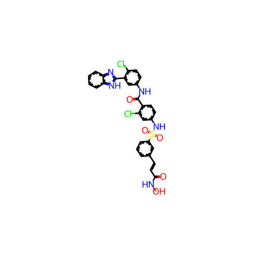 O=C(/C=C/c1cccc(S(=O)(=O)Nc2ccc(C(=O)Nc3ccc(Cl)c(-c4nc5ccccc5[nH]4)c3)c(Cl)c2)c1)NO